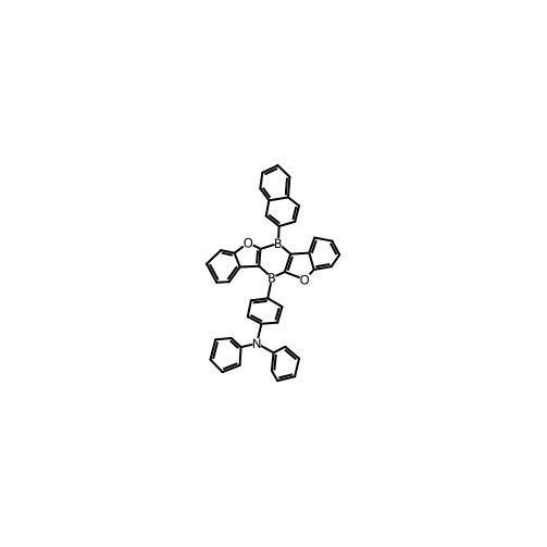 c1ccc(N(c2ccccc2)c2ccc(B3c4oc5ccccc5c4B(c4ccc5ccccc5c4)c4oc5ccccc5c43)cc2)cc1